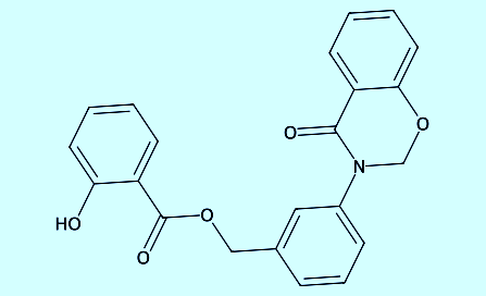 O=C(OCc1cccc(N2COc3ccccc3C2=O)c1)c1ccccc1O